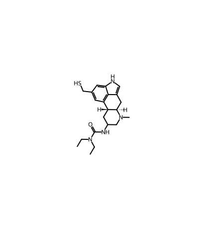 CCN(CC)C(=O)NC1C[C@@H]2c3cc(CS)cc4[nH]cc(c34)C[C@H]2N(C)C1